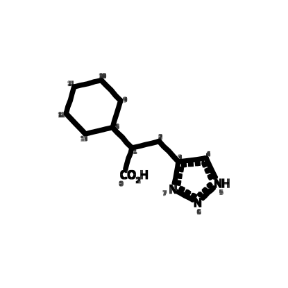 O=C(O)C(Cc1c[nH]nn1)C1CCCCC1